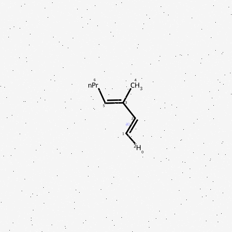 [2H]/C=C/C(C)=CCCC